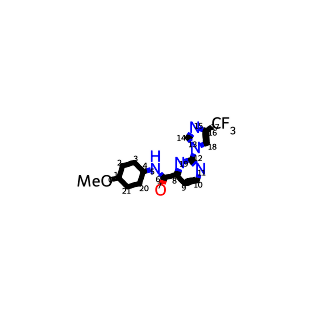 COC1CCC(NC(=O)c2ccnc(-n3cnc(C(F)(F)F)c3)n2)CC1